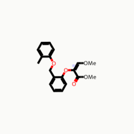 CO/C=C(/Oc1ccccc1COc1ccccc1C)C(=O)OC